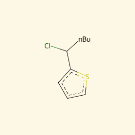 CCCCC(Cl)c1cccs1